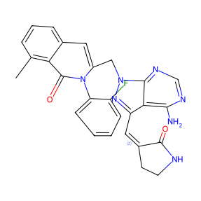 Cc1cccc2cc(Cn3nc(/C=C4/CCNC4=O)c4c(N)ncnc43)n(-c3ccccc3F)c(=O)c12